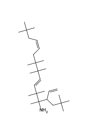 C=CC(CC(C)(C)C)C(C)(N)C(C)(C)/C=C/C(C)(C)C(C)(C)C/C=C\CC(C)(C)C